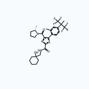 Cc1cc(C(C)(C(F)(F)F)C(F)(F)F)ccc1-c1sc(C(=O)NCC2(O)CCCCC2)nc1C(=O)N1CCC[C@@H]1C